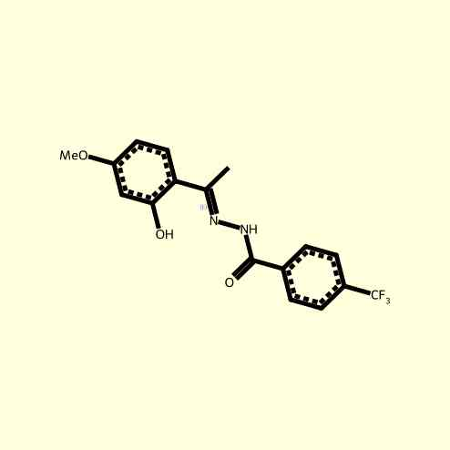 COc1ccc(/C(C)=N/NC(=O)c2ccc(C(F)(F)F)cc2)c(O)c1